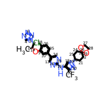 C[C@@H](Cn1cnnn1)Oc1cc(-c2cnc(Nc3cn(C4CCC5(CC4)OCCO5)nc3C(F)(F)F)nc2)ccc1Cl